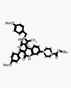 COc1ccc(CN2Nc3nc(-c4ccc(OC)cc4)c4c(=O)[nH]c5cc(N6CCN(C(=O)OC(C)(C)C)CC6)ccc5c4c3C2C)cc1